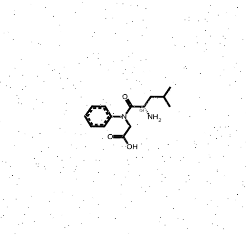 CC(C)C[C@H](N)C(=O)N(CC(=O)O)c1ccccc1